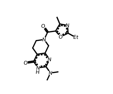 CCc1nc(C)c(C(=O)N2CCc3c(nc(N(C)C)[nH]c3=O)C2)o1